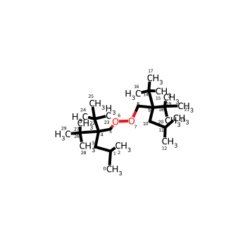 CC(C)CC(COOCC(CC(C)C)(C(C)(C)C)C(C)(C)C)(C(C)(C)C)C(C)(C)C